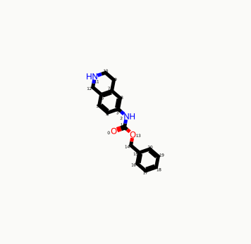 O=C(Nc1ccc2c(c1)CCNC2)OCc1ccccc1